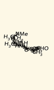 CNCCC(C)(C)OCCC(C)(C)OCCC(=O)NCCNC(=O)CCSSC(C)(C)COC=O